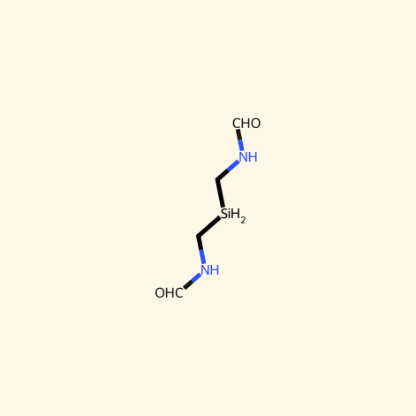 O=CNC[SiH2]CNC=O